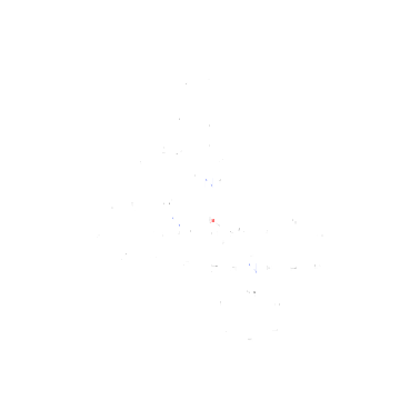 c1ccc(-c2cn(-c3ccccc3)c3c2ccc2c4ccccc4n(-c4ccc(N(c5ccccc5)c5ccccc5)cc4)c23)cc1